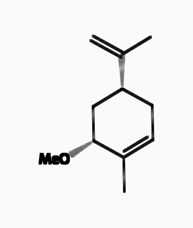 C=C(C)[C@@H]1CC=C(C)[C@H](OC)C1